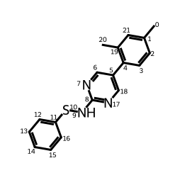 Cc1ccc(-c2cnc(NSc3ccccc3)nc2)c(C)c1